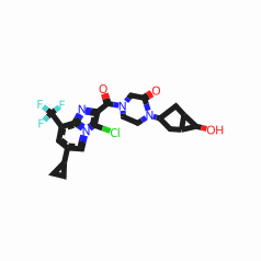 O=C(c1nc2c(C(F)(F)F)cc(C3CC3)cn2c1Cl)N1CCN(C2CC3C(O)C3C2)C(=O)C1